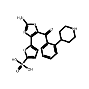 Nc1nc(-c2ccc(P(=O)(O)O)o2)c(C(=O)c2ccccc2C2CCNCC2)s1